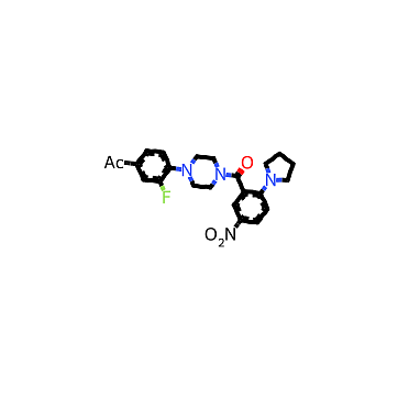 CC(=O)c1ccc(N2CCN(C(=O)c3cc([N+](=O)[O-])ccc3N3CCCC3)CC2)c(F)c1